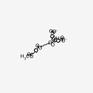 COC(=O)/C=C/c1ccc(C(=O)OCCCCCCOC(=O)C(Cc2ccc([N+](=O)[O-])cc2)(Cc2ccc([N+](=O)[O-])cc2)C(=O)O)cc1